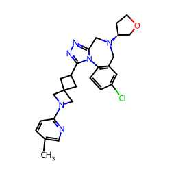 Cc1ccc(N2CC3(CC(c4nnc5n4-c4ccc(Cl)cc4CN([C@H]4CCOC4)C5)C3)C2)nc1